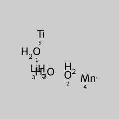 O.O.O.[LiH].[Mn].[Ti]